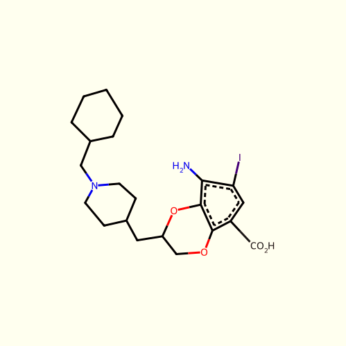 Nc1c(I)cc(C(=O)O)c2c1OC(CC1CCN(CC3CCCCC3)CC1)CO2